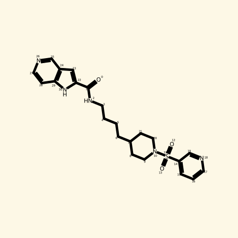 O=C(NCCCCC1CCN(S(=O)(=O)c2cccnc2)CC1)c1cc2cnccc2[nH]1